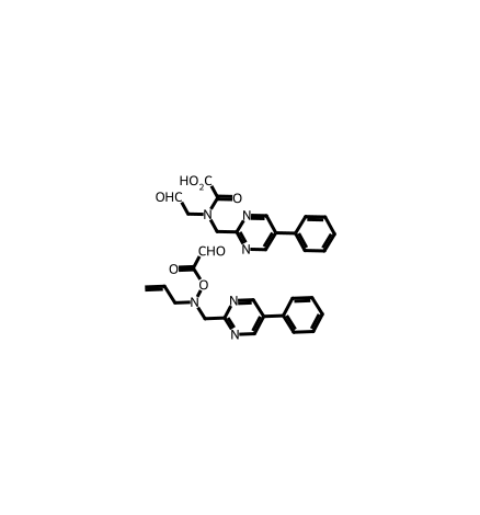 C=CCN(Cc1ncc(-c2ccccc2)cn1)OC(=O)C=O.O=CCN(Cc1ncc(-c2ccccc2)cn1)C(=O)C(=O)O